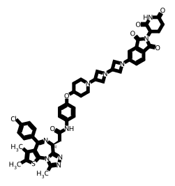 Cc1sc2c(c1C)C(c1ccc(Cl)cc1)=N[C@@H](CC(=O)Nc1ccc(OC3CCN(C4CN(C5CN(c6ccc7c(c6)C(=O)N(C6CCC(=O)NC6=O)C7=O)C5)C4)CC3)cc1)c1nnc(C)n1-2